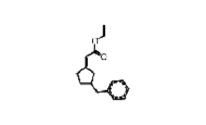 CCOC(=O)C=C1CCC(Cc2ccccc2)C1